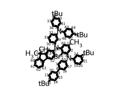 Cc1cc(N(c2ccc(-c3ccc(C(C)(C)C)cc3)cc2)c2cccc(C(C)(C)C)c2)c(Br)c(N(c2cccc(N(c3ccc(C(C)(C)C)cc3)c3ccc(C(C)(C)C)cc3)c2)c2ccc3c(c2)C(C)(C)c2ccccc2-3)c1